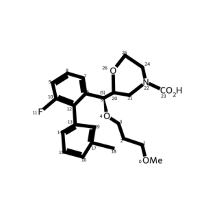 COCCCO[C@@H](c1cccc(F)c1-c1cccc(C)c1)C1CN(C(=O)O)CCO1